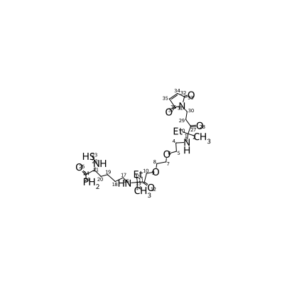 CCC(C)(NCCOCCOCC(=O)C(C)(CC)NCCCCC(NS)C(=O)P)C(=O)CCN1C(=O)C=CC1=O